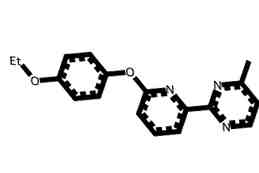 CCOc1ccc(Oc2cccc(-c3nccc(C)n3)n2)cc1